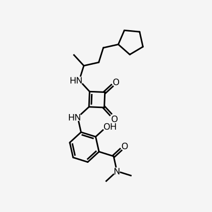 CC(CCC1CCCC1)Nc1c(Nc2cccc(C(=O)N(C)C)c2O)c(=O)c1=O